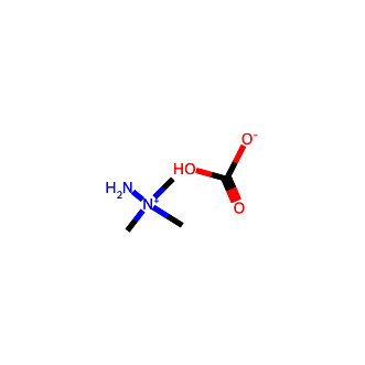 C[N+](C)(C)N.O=C([O-])O